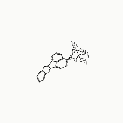 CC1(C)OB(c2ccc3c4c(cccc24)-c2cc4ccccc4cc2-3)OC1(C)C